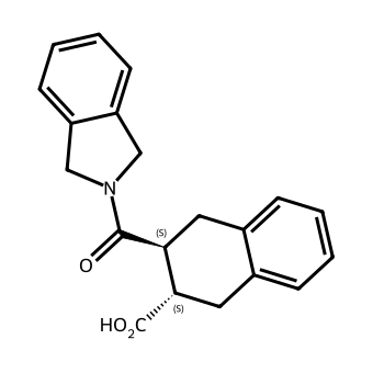 O=C(O)[C@H]1Cc2ccccc2C[C@@H]1C(=O)N1Cc2ccccc2C1